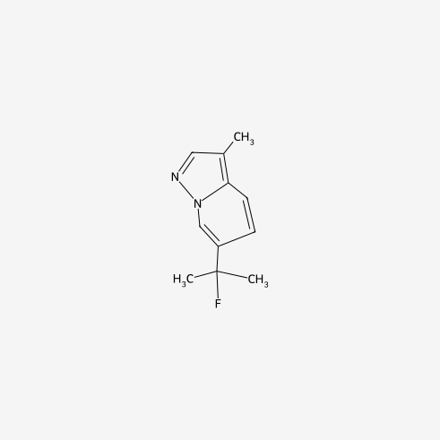 Cc1cnn2cc(C(C)(C)F)ccc12